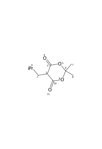 CC(C)CC1C(=O)OC(C)(C)OC1=O